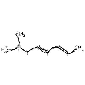 CC=CC=CC[Si](C)C